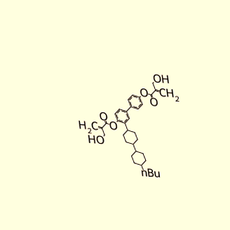 C=C(CO)C(=O)Oc1ccc(-c2ccc(OC(=O)C(=C)CO)c(C3CCC(C4CCC(CCCC)CC4)CC3)c2)cc1